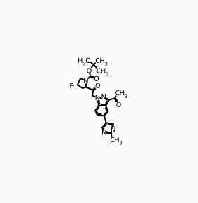 CC(=O)c1nn(CC(=O)C2C[C@H](F)CN2C(=O)OC(C)(C)C)c2ccc(-c3cnc(C)nc3)cc12